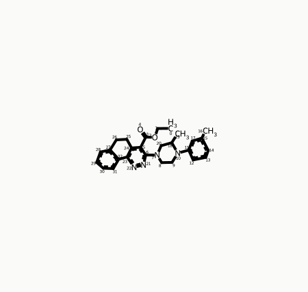 CCOC(=O)c1c(N2CCN(c3cccc(C)c3)C(C)C2)nnc2c1CCc1ccccc1-2